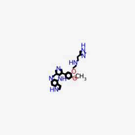 COc1ccc(-c2cncc(C#N)c2Nc2cccc3[nH]ccc23)cc1OCCNCCc1c[nH]cn1